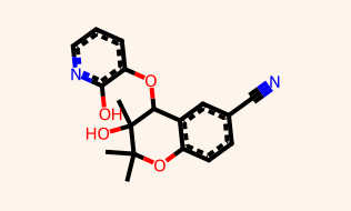 CC1(C)Oc2ccc(C#N)cc2C(Oc2cccnc2O)C1(C)O